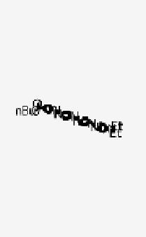 CCCCOC(=O)c1ccc(N=Nc2ccc(N=Nc3ccc(N=Nc4ccc(N(CC)CC)cc4)cc3)cc2)cc1